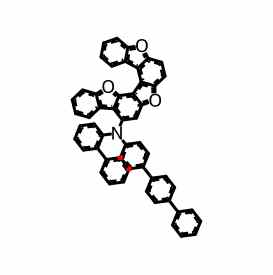 c1ccc(-c2ccc(-c3ccc(N(c4ccccc4-c4ccccc4)c4cc5oc6ccc7oc8ccccc8c7c6c5c5oc6ccccc6c45)cc3)cc2)cc1